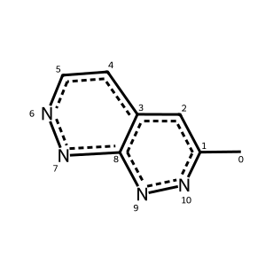 Cc1cc2ccnnc2nn1